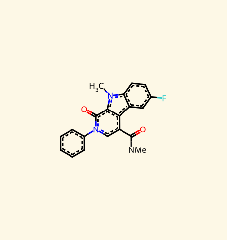 CNC(=O)c1cn(-c2ccccc2)c(=O)c2c1c1cc(F)ccc1n2C